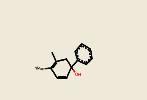 CCCCCCCCCC1=C(C)CC(O)(c2ccccc2)C=C1